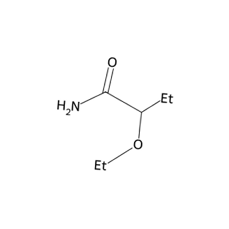 [CH2]CC(OCC)C(N)=O